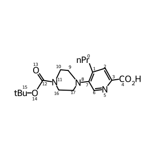 CCCc1cc(C(=O)O)ncc1N1CCN(C(=O)OC(C)(C)C)CC1